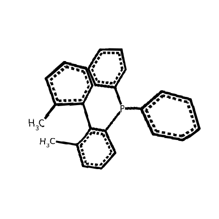 Cc1ccccc1-c1c(C)cccc1P(c1ccccc1)c1ccccc1